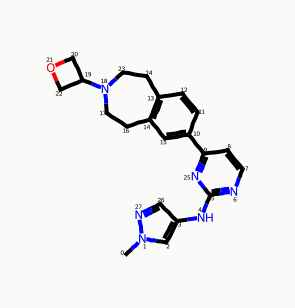 Cn1cc(Nc2nccc(-c3ccc4c(c3)CCN(C3COC3)CC4)n2)cn1